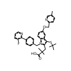 Cc1ccc(COc2ccc3c(c2)c(SC(C)(C)C)c(CC(C)(C)C(=O)O)n3Cc2ccc(-c3ncccc3F)cc2)nc1